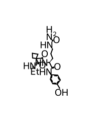 CCNC(=O)C1(C(=O)N[C@@H](CCCNC(N)=O)C(=O)Nc2ccc(CO)cc2)CCC1